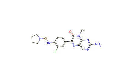 CC(C)n1c(=O)c(-c2ccc(NSN3CCCC3)c(F)c2)nc2cnc(N)nc21